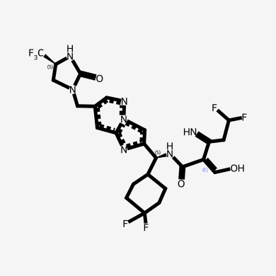 N=C(CC(F)F)/C(=C\O)C(=O)N[C@H](c1cn2ncc(CN3C[C@@H](C(F)(F)F)NC3=O)cc2n1)C1CCC(F)(F)CC1